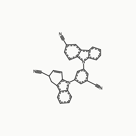 N#Cc1cc(-n2c3c(c4ccccc42)CC(C#N)C=C3)cc(-n2c3ccccc3c3cc(C#N)ccc32)c1